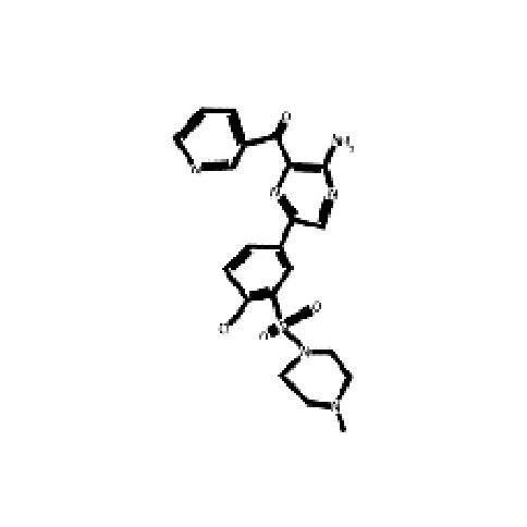 CN1CCN(S(=O)(=O)c2cc(-c3cnc(N)c(C(=O)c4cccnc4)n3)ccc2Cl)CC1